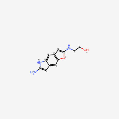 Nc1cc2cc3oc(NCCO)cc3cc2[nH]1